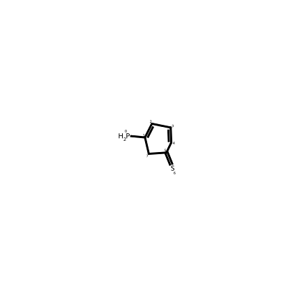 PC1=CC=CC(=S)C1